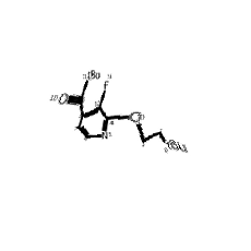 CC(C)(C)CCOc1nccc(C(=O)C(C)(C)C)c1F